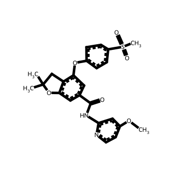 COc1ccnc(NC(=O)c2cc(Oc3ccc(S(C)(=O)=O)cc3)c3c(c2)OC(C)(C)C3)c1